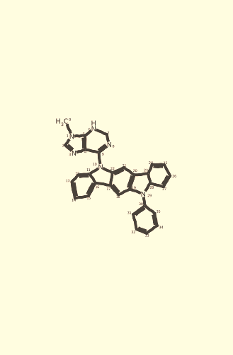 Cn1cnc2c1NCN=C2n1c2ccccc2c2cc3c(cc21)C1C=CC=CC1N3c1ccccc1